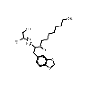 CC(C)CO.CCCCCCCC[S+]([O-])C(C)Cc1ccc2c(c1)OCO2